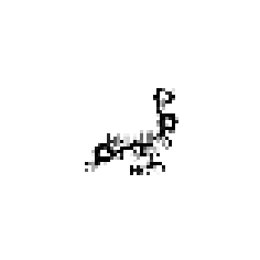 CN(NC(=O)c1cc2c(NC(=O)c3cccc(CN4CCOCC4)c3)nn(C(=O)O)c2s1)c1ccc(Cl)cc1